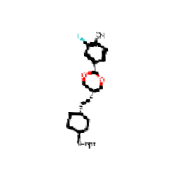 CCCCCCC[C@H]1CC[C@H](CC[C@H]2CO[C@H](c3ccc(C#N)c(F)c3)OC2)CC1